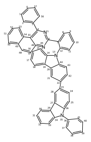 c1ccc(-c2nc(-c3ccccc3-n3c4ccccc4c4cc(-c5ccc6c(c5)c5ccccc5n6-c5ccccc5)ccc43)nc3ccc4ccccc4c23)cc1